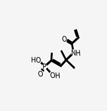 C=CC(=O)NC(C)(C)C=C(C)P(=O)(O)O